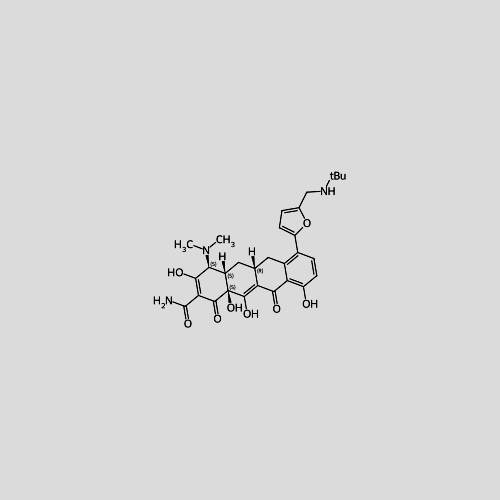 CN(C)[C@@H]1C(O)=C(C(N)=O)C(=O)[C@@]2(O)C(O)=C3C(=O)c4c(O)ccc(-c5ccc(CNC(C)(C)C)o5)c4C[C@H]3C[C@@H]12